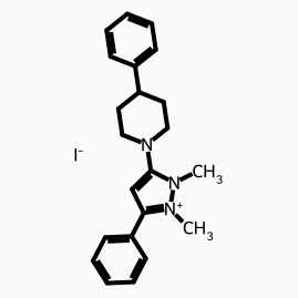 Cn1c(N2CCC(c3ccccc3)CC2)cc(-c2ccccc2)[n+]1C.[I-]